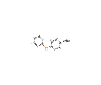 CCCCc1ccc(Pc2cc[c]cc2)cc1